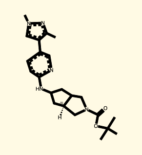 Cc1nn(C)cc1-c1ccc(NC2CC3CN(C(=O)OC(C)(C)C)C[C@H]3C2)nc1